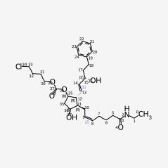 CCNC(=O)CCC/C=C\C[C@@H]1[C@@H](/C=C/[C@@H](O)CCc2ccccc2)[C@H](OC(=O)OCCCCCl)C[C@@H]1O